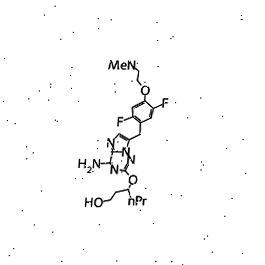 CCCC(CCO)Oc1nc(N)c2ncc(Cc3cc(F)c(OCCNC)cc3F)n2n1